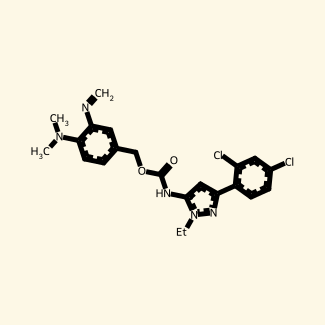 C=Nc1cc(COC(=O)Nc2cc(-c3ccc(Cl)cc3Cl)nn2CC)ccc1N(C)C